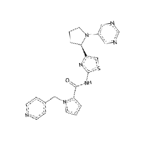 O=C(Nc1nc([C@H]2CCCN2c2cncnc2)cs1)c1cccn1Cc1ccncc1